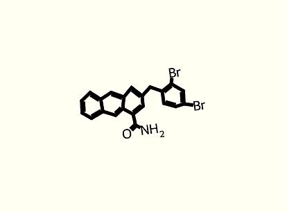 NC(=O)c1cc(Cc2ccc(Br)cc2Br)cc2cc3ccccc3cc12